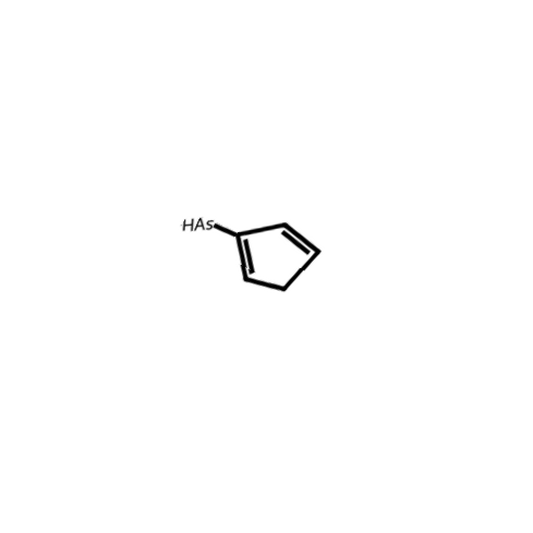 [AsH]C1=CCC=C1